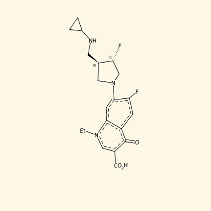 CCn1cc(C(=O)O)c(=O)c2cc(F)c(N3C[C@@H](CNC4CC4)[C@H](F)C3)cc21